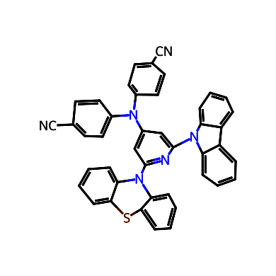 N#Cc1ccc(N(c2ccc(C#N)cc2)c2cc(N3c4ccccc4Sc4ccccc43)nc(-n3c4ccccc4c4ccccc43)c2)cc1